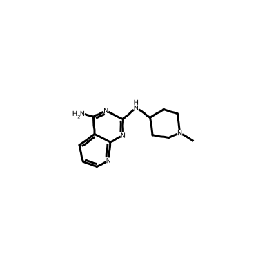 CN1CCC(Nc2nc(N)c3cccnc3n2)CC1